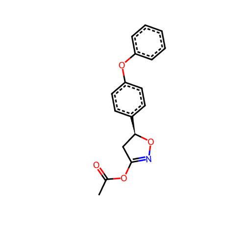 CC(=O)OC1=NO[C@H](c2ccc(Oc3ccccc3)cc2)C1